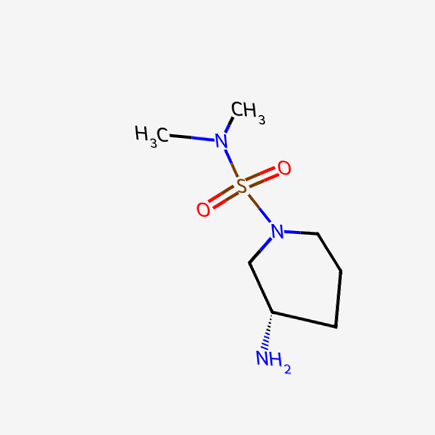 CN(C)S(=O)(=O)N1CCC[C@H](N)C1